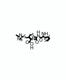 Cc1nsc(SCC2=C(C(=O)O)N3C(=O)C(NC(=O)C(N)c4cccs4)C3SC2)n1